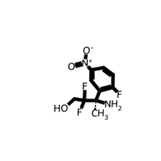 C[C@@](N)(c1cc([N+](=O)[O-])ccc1F)C(F)(F)CO